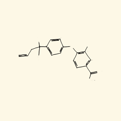 C=CCC(CC)(CC)c1ccc(Oc2ccc(C(=O)OC)cc2F)cc1